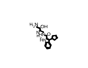 NCC(O)[C@H](N)CNC(=O)c1[nH]c2ccccc2c1C1CCCC1